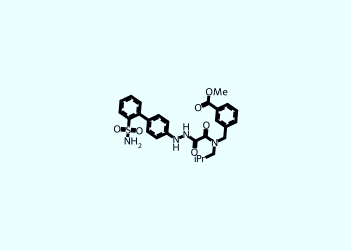 COC(=O)c1cccc(CN(CC(C)C)C(=O)C(=O)NNc2ccc(-c3ccccc3S(N)(=O)=O)cc2)c1